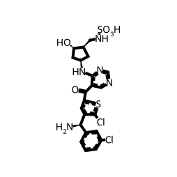 N[C@H](c1cccc(Cl)c1)c1cc(C(=O)c2cncnc2N[C@H]2C[C@H](O)[C@@H]([CH]NS(=O)(=O)O)C2)sc1Cl